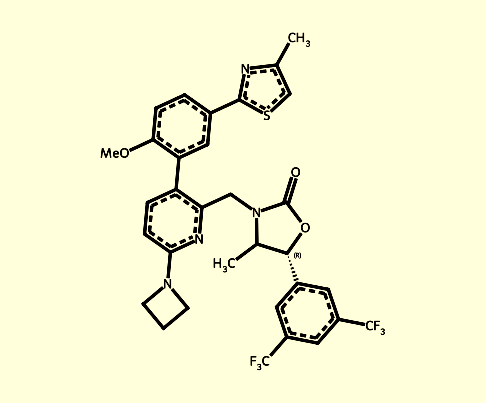 COc1ccc(-c2nc(C)cs2)cc1-c1ccc(N2CCC2)nc1CN1C(=O)O[C@H](c2cc(C(F)(F)F)cc(C(F)(F)F)c2)C1C